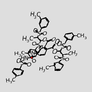 Cc1ccc(S(=O)(=O)NC(=O)Nc2ccc(C(=O)OC(C(C)S(=O)(=O)c3cccc(C)c3)S(=O)(=O)c3cccc(C)c3)c(C(=O)OC(C(C)S(=O)(=O)c3cccc(C)c3)S(=O)(=O)c3cccc(C)c3)c2)cc1